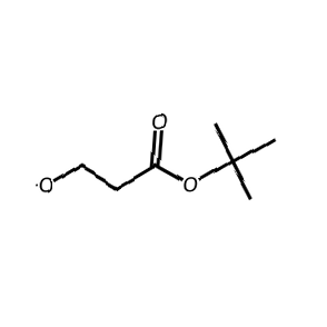 CC(C)(C)OC(=O)CC[O]